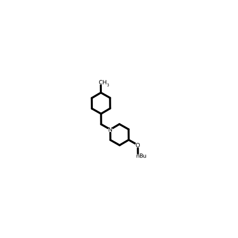 CCCCOC1CCN(CC2CCC(C)CC2)CC1